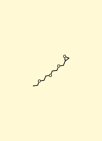 CCOCCOCCOCC1CO1